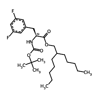 CCCCCC(CCCCC)COC(=O)[C@H](Cc1cc(F)cc(F)c1)NC(=O)OC(C)(C)C